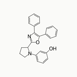 Oc1cccc(N2CCCC2c2nc(-c3ccccc3)c(-c3ccccc3)o2)c1